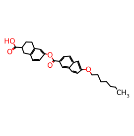 CCCCCCCOc1ccc2cc(C(=O)Oc3ccc4c(c3)CCC(C(=O)O)C4)ccc2c1